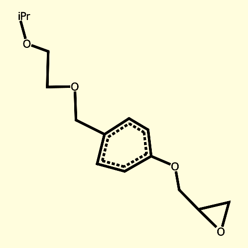 CC(C)OCCOCc1ccc(OCC2CO2)cc1